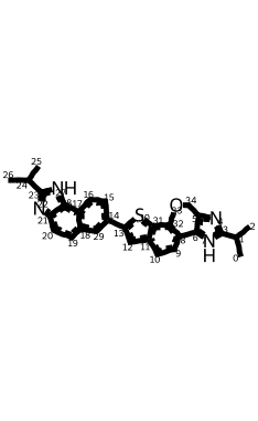 CC(C)c1nc2c([nH]1)-c1ccc3cc(-c4ccc5c(ccc6nc(C(C)C)[nH]c65)c4)sc3c1OC2